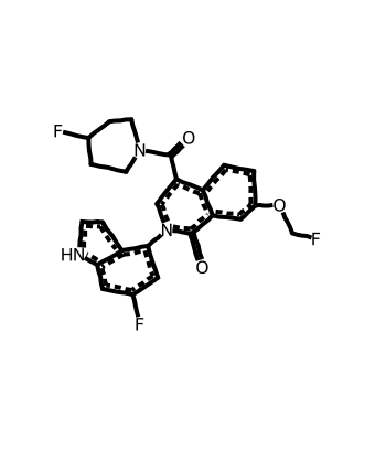 O=C(c1cn(-c2cc(F)cc3[nH]ccc23)c(=O)c2cc(OCF)ccc12)N1CCC(F)CC1